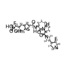 O=C(N[C@H]1CCC[C@H]2CC[C@@H](C(=O)N3CC(c4ccncc4F)C3)N2C1=O)c1cc2cc(C(F)P(=O)(O)O)ccc2s1